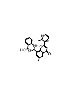 Cc1cc(C(C)Nc2ccccc2C(=O)O)c2oc(-c3nccnc3C)cc(=O)c2c1